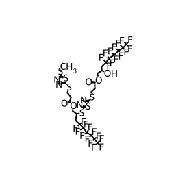 CSc1nnc(SCCC(=O)OCC(CC(F)(F)C(F)(F)C(F)(F)C(F)(F)C(F)(F)C(F)(F)F)Sc2nnc(SCCC(=O)OCC(O)CC(F)(F)C(F)(F)C(F)(F)C(F)(F)C(F)(F)C(F)(F)F)s2)s1